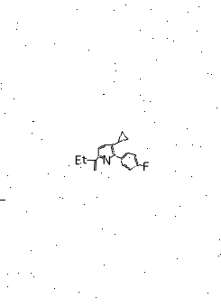 C=C(CC)c1ccc(C2CC2)c(-c2ccc(F)cc2)n1